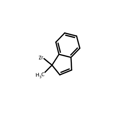 C[C]1([Zr])C=Cc2ccccc21